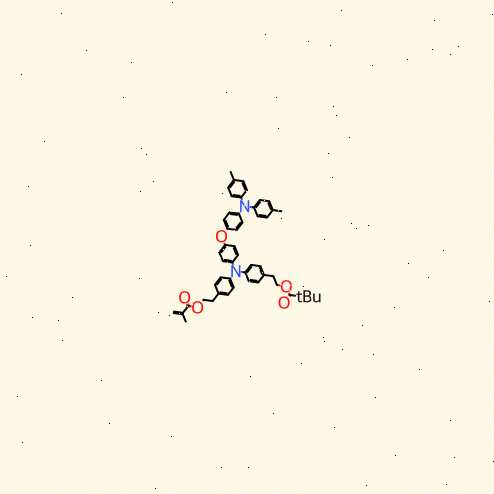 C=C(C)C(=O)OCCc1ccc(N(c2ccc(CCOC(=O)C(C)(C)C)cc2)c2ccc(Oc3ccc(N(c4ccc(C)cc4)c4ccc(C)cc4)cc3)cc2)cc1